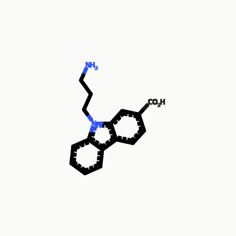 NCCCn1c2ccccc2c2ccc(C(=O)O)cc21